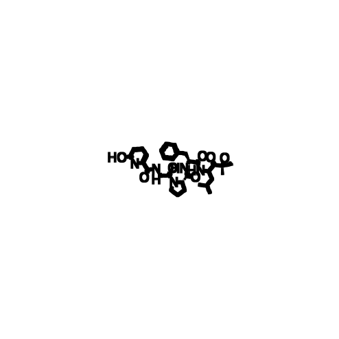 CC(C)CC(NC(=O)[C@H](Cc1ccccc1)NC(=O)[C@@H]1CCCN1C(=O)CNC(=O)c1cccc(O)n1)C(=O)[C@@]1(C)CO1